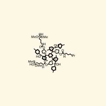 CO[Si](O)(CCCNC(=O)O[C@@H]1C[C@@H](C(O)(c2ccc(C)cc2)c2ccc(C)cc2)N(C(=O)c2cc(C(=O)N3C[C@H](OC(=O)NCCCC(C)C)C[C@H]3C(O)(c3ccc(C)cc3)c3ccc(C)cc3)cc(C(=O)N3C[C@H](OC(=O)NCCC[Si](O)(OC)OC)C[C@H]3C(O)(c3ccc(C)cc3)c3ccc(C)cc3)c2)C1)OC